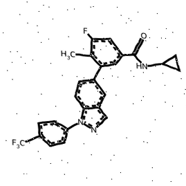 Cc1c(F)cc(C(=O)NC2CC2)cc1-c1ccc2c(cnn2-c2ccc(C(F)(F)F)cc2)c1